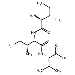 CC[C@H](C)[C@H](N)C(=O)N[C@H](C(=O)N[C@H](C(=O)O)C(C)C)[C@@H](C)CC